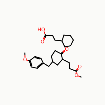 COC(=O)CCC1CC(Cc2ccc(OC)cc2)CCC1=O.O=C(O)CCC1CCCCC1